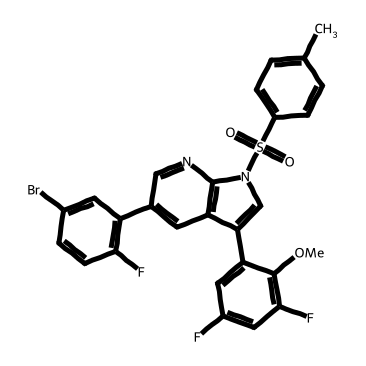 COc1c(F)cc(F)cc1-c1cn(S(=O)(=O)c2ccc(C)cc2)c2ncc(-c3cc(Br)ccc3F)cc12